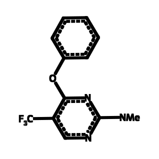 CNc1ncc(C(F)(F)F)c(Oc2ccccc2)n1